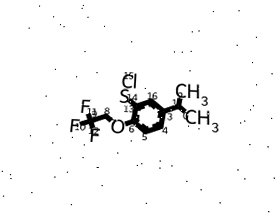 CC(C)c1ccc(OCC(F)(F)F)c(SCl)c1